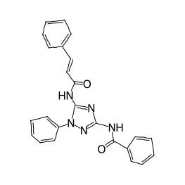 O=C(C=Cc1ccccc1)Nc1nc(NC(=O)c2ccccc2)nn1-c1ccccc1